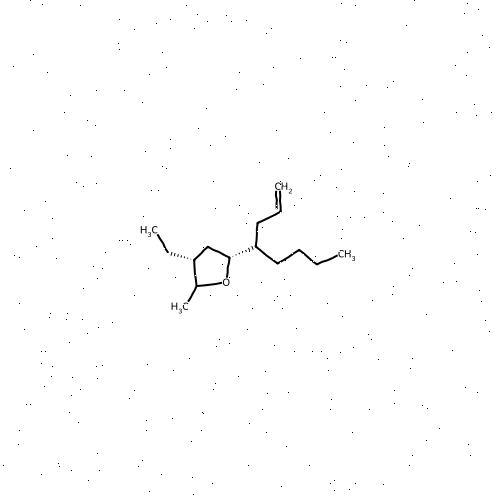 C=CCC(CCCC)[C@H]1C[C@@H](CC)C(C)O1